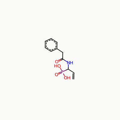 C=CC(NC(=O)Cc1ccccc1)P(=O)(O)O